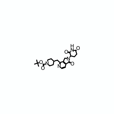 CC(C)(C)OC(=O)N1CCC(Cc2nccc3c2CN(C2CCC(=O)NC2=O)C3=O)CC1